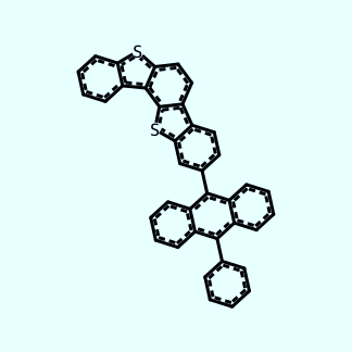 c1ccc(-c2c3ccccc3c(-c3ccc4c(c3)sc3c4ccc4sc5ccccc5c43)c3ccccc23)cc1